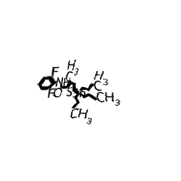 CCC[CH2][Sn]([CH2]CCC)([CH2]CCC)[c]1cc(C)c(C(=O)Nc2c(F)cccc2F)s1